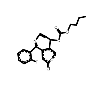 CCCCOC(=O)OC1C=CN=C(c2ccccc2F)c2cc(Cl)ccc21